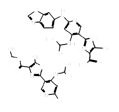 CCOC(=O)c1nc(-c2cnc(Cl)cc2NC(C)C)oc1C.Cc1oc(-c2cnc(Nc3ccc4ncsc4c3)cc2NC(C)C)nc1C(=O)O